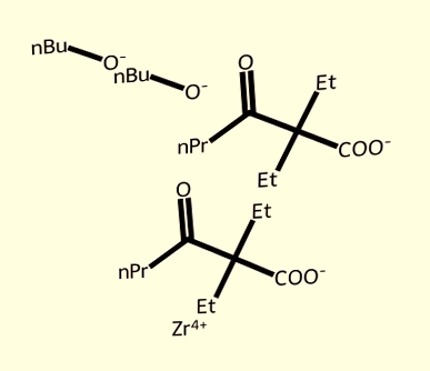 CCCC(=O)C(CC)(CC)C(=O)[O-].CCCC(=O)C(CC)(CC)C(=O)[O-].CCCC[O-].CCCC[O-].[Zr+4]